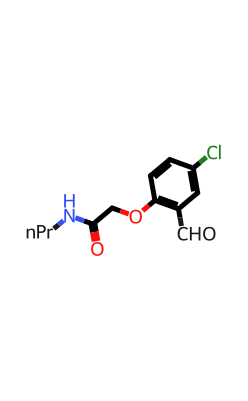 CCCNC(=O)COc1ccc(Cl)cc1C=O